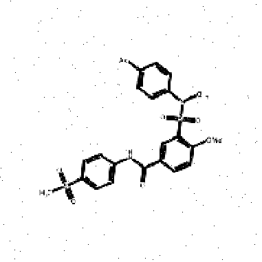 COc1ccc(C(=O)Nc2ccc(S(C)(=O)=O)cc2)cc1S(=O)(=O)N(C)c1ccc(C(C)=O)cc1